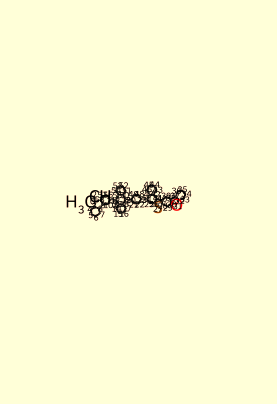 CC1(C)c2ccccc2-c2cc(-c3c4ccccc4c(-c4ccc(-c5cc6sc7cc8oc9ccccc9c8cc7c6c6ccccc56)cc4)c4ccccc34)ccc21